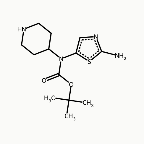 CC(C)(C)OC(=O)N(c1cnc(N)s1)C1CCNCC1